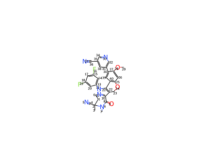 CCC(C)(C#N)N(C)C(=O)c1nn(-c2cc(F)cc(F)c2)c2c1COc1cc(OC)c(-c3cncc(C#N)c3)cc1-2